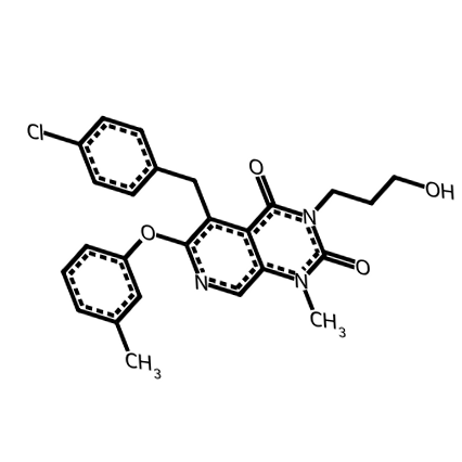 Cc1cccc(Oc2ncc3c(c2Cc2ccc(Cl)cc2)c(=O)n(CCCO)c(=O)n3C)c1